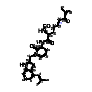 CC(C)=Cc1cncc2[nH]c(Cn3cccc(NC(=O)C(CC/C=C/C(=O)N(C)C)NC(=O)O)c3=O)nc12